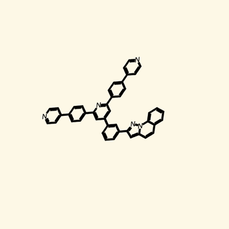 c1cc(-c2cc(-c3ccc(-c4ccncc4)cc3)nc(-c3ccc(-c4ccncc4)cc3)c2)cc(-c2cc3ccc4ccccc4n3n2)c1